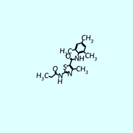 CCC(=O)Nc1nc(C)c(C(=O)Nc2c(C)cc(C)cc2C)s1